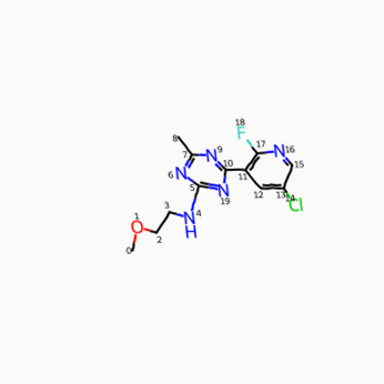 COCCNc1nc(C)nc(-c2cc(Cl)cnc2F)n1